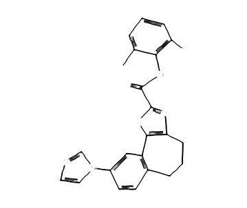 O=C(Nc1c(F)cccc1F)c1nc2c(s1)-c1cc(-n3ccnc3)ccc1CCC2